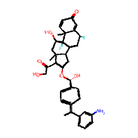 CC(c1ccc([C@@H](O)O[C@@H]2CC3C4C[C@H](F)C5=CC(=O)C=CC5(C)[C@@]4(F)C(O)CC3(C)C2C(=O)CO)cc1)c1cccc(N)c1